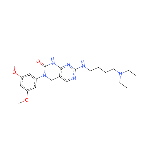 CCN(CC)CCCCNc1ncc2c(n1)NC(=O)N(c1cc(OC)cc(OC)c1)C2